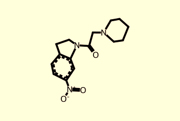 O=C(CN1CCCCC1)N1CCc2ccc([N+](=O)[O-])cc21